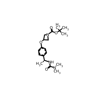 C[C@H](NC(=O)N(C)C)c1ccc(OC2CN(C(=O)OC(C)(C)C)C2)cc1